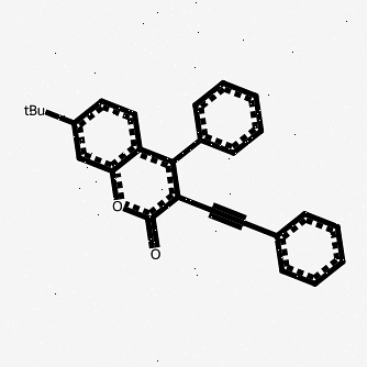 CC(C)(C)c1ccc2c(-c3ccccc3)c(C#Cc3ccccc3)c(=O)oc2c1